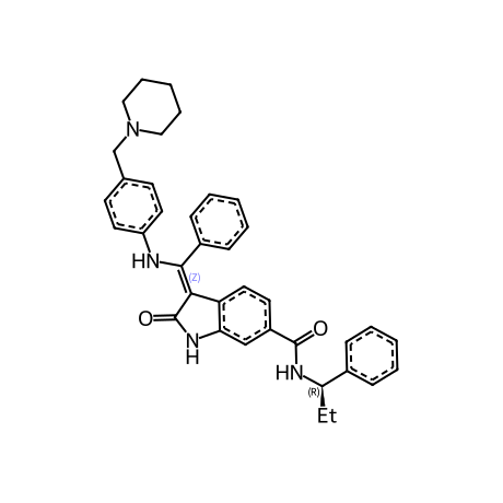 CC[C@@H](NC(=O)c1ccc2c(c1)NC(=O)/C2=C(\Nc1ccc(CN2CCCCC2)cc1)c1ccccc1)c1ccccc1